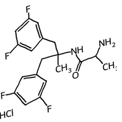 CC(N)C(=O)NC(C)(Cc1cc(F)cc(F)c1)Cc1cc(F)cc(F)c1.Cl